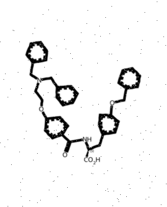 O=C(N[C@@H](Cc1ccc(OCc2ccccc2)cc1)C(=O)O)c1ccc(OCCN(Cc2ccccc2)Cc2ccccc2)cc1